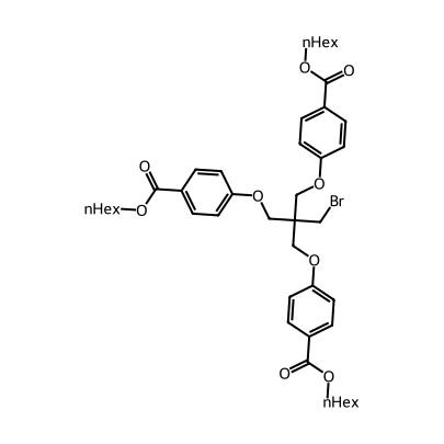 CCCCCCOC(=O)c1ccc(OCC(CBr)(COc2ccc(C(=O)OCCCCCC)cc2)COc2ccc(C(=O)OCCCCCC)cc2)cc1